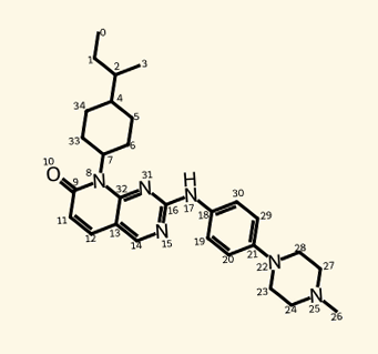 CCC(C)C1CCC(n2c(=O)ccc3cnc(Nc4ccc(N5CCN(C)CC5)cc4)nc32)CC1